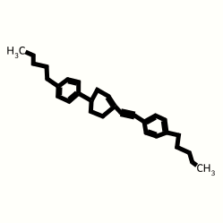 CCCCCc1ccc(C#CC2=CCC(c3ccc(CCCCC)cc3)CC2)cc1